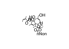 C/C=C(/C)C(=O)O[C@H]1C(C)=CC23C(=O)[C@@H](C=C(CO)C(O)C12O)C(C)(C)[C@](C)(OC(=O)CCCCCCCCC)C[C@H]3C